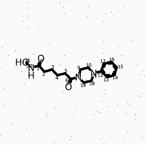 O=C(CCCCC(=O)N1CCN(c2ccccc2)CC1)NO